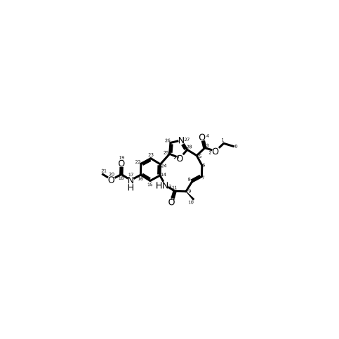 CCOC(=O)C1C/C=C/[C@@H](C)C(=O)Nc2cc(NC(=O)OC)ccc2-c2cnc1o2